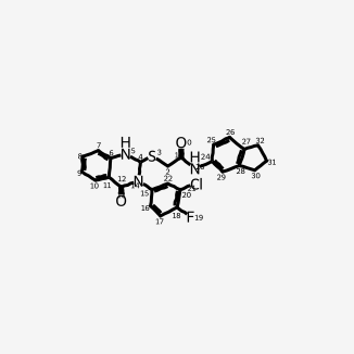 O=C(CSC1Nc2ccccc2C(=O)N1c1ccc(F)c(Cl)c1)Nc1ccc2c(c1)CCC2